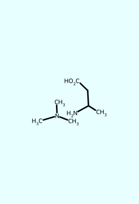 CC(N)CC(=O)O.CN(C)C